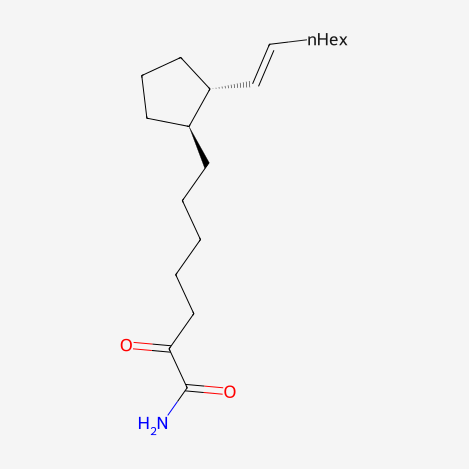 CCCCCCC=C[C@H]1CCC[C@@H]1CCCCCC(=O)C(N)=O